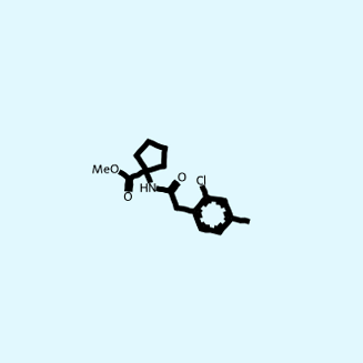 COC(=O)C1(NC(=O)Cc2ccc(C)cc2Cl)CCCC1